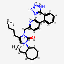 CCCCc1cn(C2CCCCCC2CC)c(=O)n1Cc1ccc(-c2ccccc2-c2nnn[nH]2)cn1